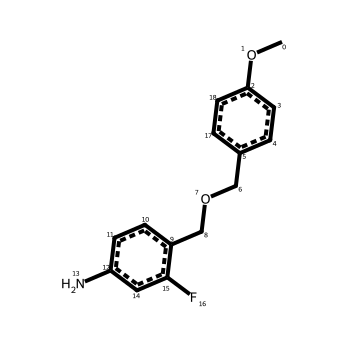 COc1ccc(COCc2ccc(N)cc2F)cc1